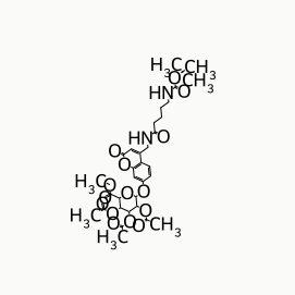 COC(=O)C1OC(Oc2ccc3c(CNC(=O)CCCCNC(=O)OC(C)(C)C)cc(=O)oc3c2)C(OC(C)=O)C(OC(C)=O)C1OC(C)=O